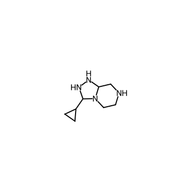 C1CN2C(CN1)NNC2C1CC1